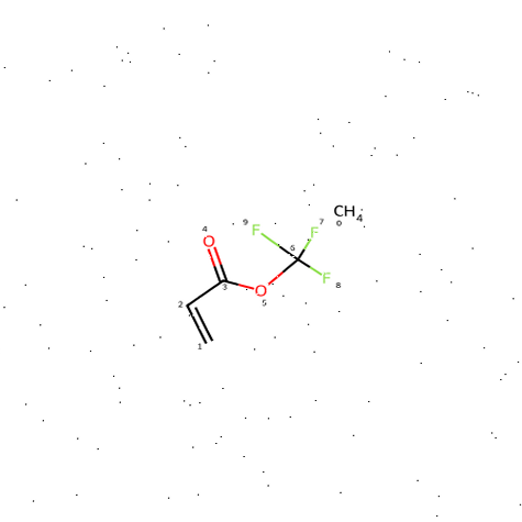 C.C=CC(=O)OC(F)(F)F